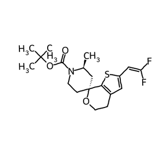 C[C@H]1C[C@@]2(CCN1C(=O)OC(C)(C)C)OCCc1cc(C=C(F)F)sc12